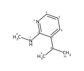 CNc1nc[c]cc1C(C)C